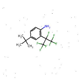 CC(C)(C)c1ccc(N)c(C(F)(C(F)(F)F)C(F)(F)F)c1